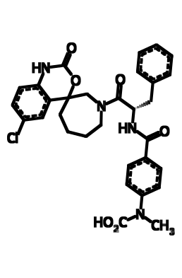 CN(C(=O)O)c1ccc(C(=O)N[C@@H](Cc2ccccc2)C(=O)N2CCCCC3(C2)OC(=O)Nc2ccc(Cl)cc23)cc1